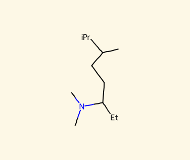 CCC(CCC(C)C(C)C)N(C)C